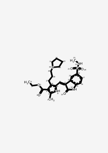 CCOC(=O)c1c(C)[nH]c(C=C2C(=O)Nc3ccc(S(=O)(=O)NC)cc32)c1CCCN1CCCC1